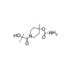 CC1(OC(N)=O)CCN(C(=O)C(C)(C)O)CC1